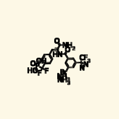 N.N.NC(=O)[C@H](Cc1ccc(C(F)(F)P(=O)(O)O)cc1)NC(=O)c1cc(Br)cc(C2(C(F)(F)F)N=N2)c1